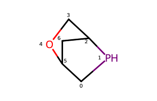 C1PC2COC1C2